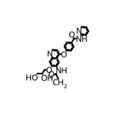 C=CC(=O)Nc1cc2c(Oc3ccc(C(=O)Nc4ccccn4)cc3)ccnc2cc1OC[C@@H](O)CO